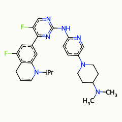 CC(C)N1C=CCc2c(F)cc(-c3nc(Nc4ccc(N5CCC(N(C)C)CC5)cn4)ncc3F)cc21